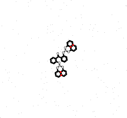 O=C(c1ccccc1OP(Oc1ccccc1)Oc1ccccc1)c1ccccc1OP(Oc1ccccc1)Oc1ccccc1